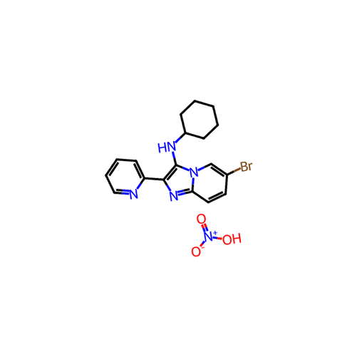 Brc1ccc2nc(-c3ccccn3)c(NC3CCCCC3)n2c1.O=[N+]([O-])O